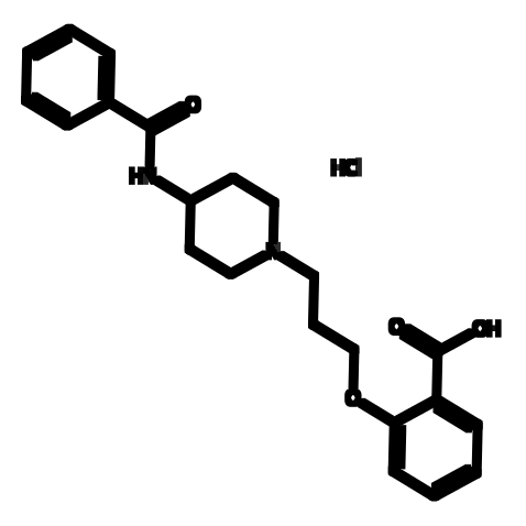 Cl.O=C(NC1CCN(CCCOc2ccccc2C(=O)O)CC1)c1ccccc1